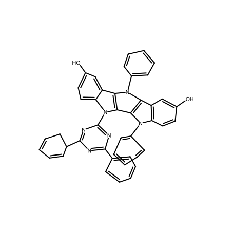 Oc1ccc2c(c1)c1c(c3c(c4cc(O)ccc4n3-c3nc(-c4ccccc4)nc(C4C=CC=CC4)n3)n1-c1ccccc1)n2-c1ccccc1